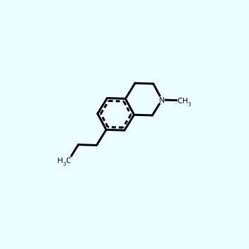 CCCc1ccc2c(c1)CN(C)CC2